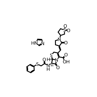 O=C(CSc1ccccc1)N[C@@H]1C(=O)N2C(C(=O)O)=C(C=C3CCN(C4CCS(=O)(=O)C4)C3=O)CS[C@H]12.c1c[nH]cn1